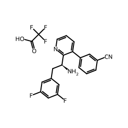 N#Cc1cccc(-c2cccnc2[C@@H](N)Cc2cc(F)cc(F)c2)c1.O=C(O)C(F)(F)F